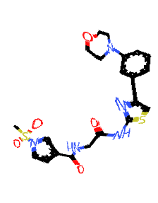 CS(=O)(=O)n1ccc(C(=O)NCC(=O)Nc2nc(-c3cccc(N4CCOCC4)c3)cs2)c1